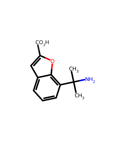 CC(C)(N)c1cccc2cc(C(=O)O)oc12